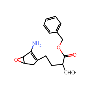 NC1=C(CCC([C]=O)C(=O)OCc2ccccc2)CC2OC12